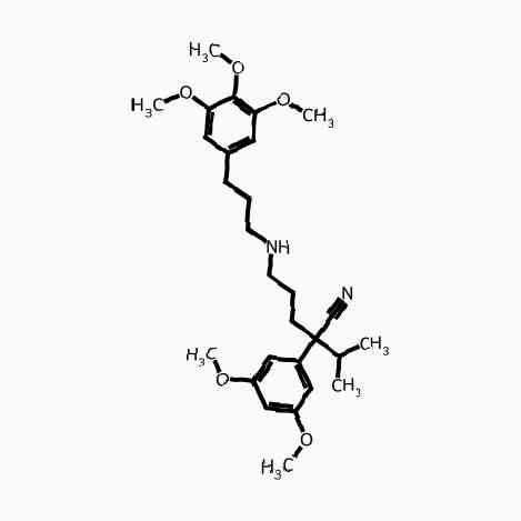 COc1cc(OC)cc(C(C#N)(CCCNCCCc2cc(OC)c(OC)c(OC)c2)C(C)C)c1